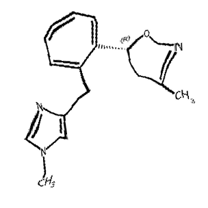 CC1=NO[C@@H](c2ccccc2Cc2cn(C)cn2)C1